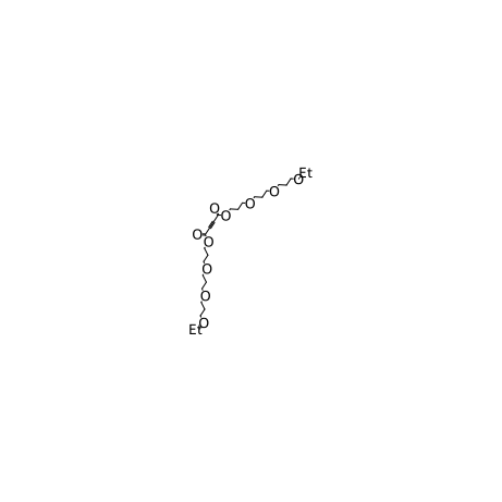 CCOCCCOCCCOCCCOC(=O)C#CC(=O)OCCCOCCCOCCCOCC